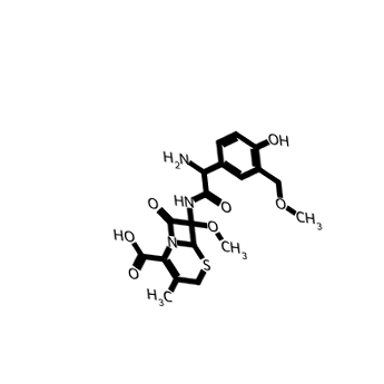 COCc1cc(C(N)C(=O)NC2(OC)C(=O)N3C(C(=O)O)=C(C)CSC32)ccc1O